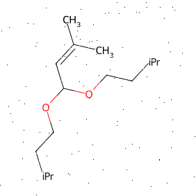 CC(C)=CC(OCCC(C)C)OCCC(C)C